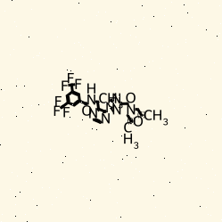 CC(NC(=O)c1cc(C(F)(F)F)cc(C(F)(F)F)c1)c1nccnc1-n1cnc(C(=O)N2C[C@@H](C)O[C@@H](C)C2)n1